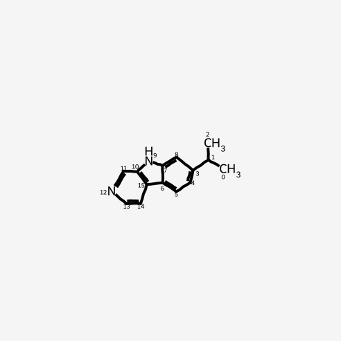 CC(C)c1ccc2c(c1)[nH]c1cnccc12